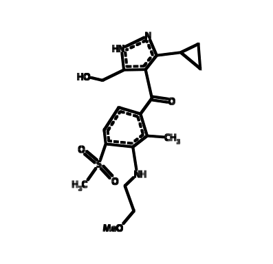 COCCNc1c(S(C)(=O)=O)ccc(C(=O)c2c(C3CC3)n[nH]c2CO)c1C